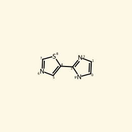 C1=CN=C(c2cncs2)[N]1